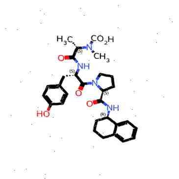 C[C@@H](C(=O)N[C@@H](Cc1ccc(O)cc1)C(=O)N1CCC[C@H]1C(=O)N[C@@H]1CCCc2ccccc21)N(C)C(=O)O